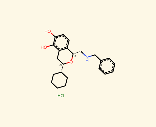 Cl.Oc1ccc2c(c1O)C[C@@H](C1CCCCC1)O[C@H]2CNCc1ccccc1